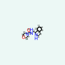 O=C(NCC1NCCc2ccccc21)N1CCOCC1